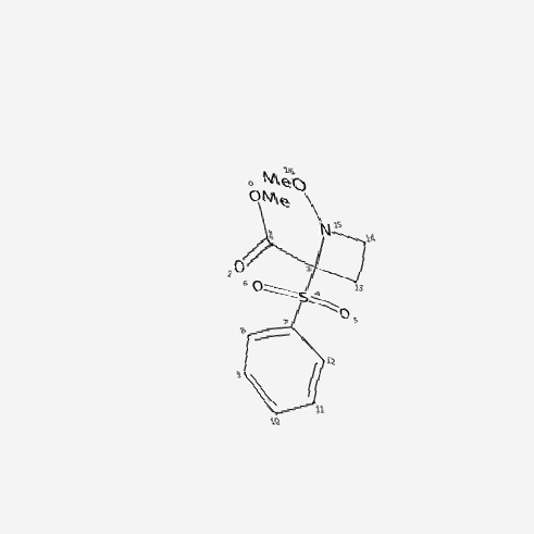 COC(=O)C1(S(=O)(=O)c2ccccc2)CCN1OC